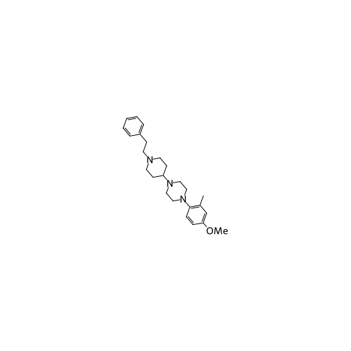 COc1ccc(N2CCN(C3CCN(CCc4ccccc4)CC3)CC2)c(C)c1